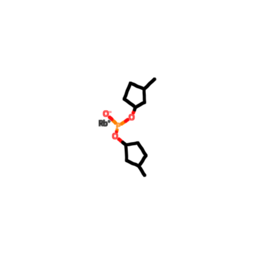 CC1CCC(OP([O-])OC2CCC(C)C2)C1.[Rb+]